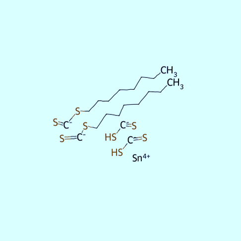 CCCCCCCCS[C-]=S.CCCCCCCCS[C-]=S.S=[C-]S.S=[C-]S.[Sn+4]